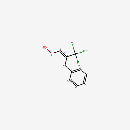 OC/C=C(\Cc1ccccc1)C(F)(F)F